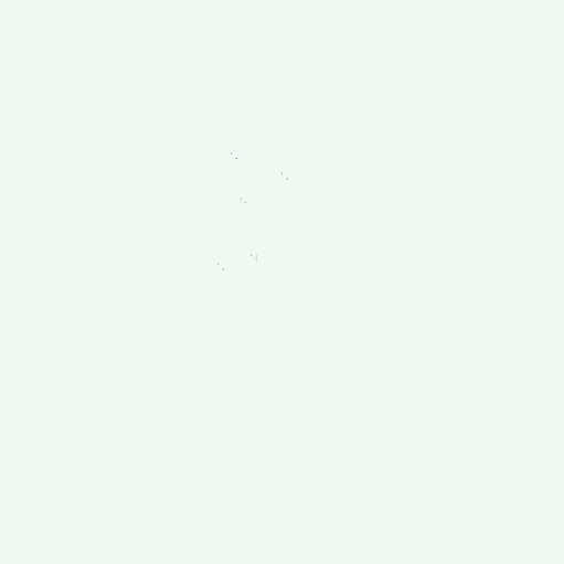 C#CC(C)(Oc1ccc2c(C)nn(-c3ccnc(N)n3)c2c1)C(=O)O